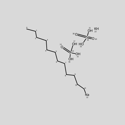 CCCCCCCCCCC[CH2][Na].O=P(O)(O)O.O=S(=O)(O)O.[KH]